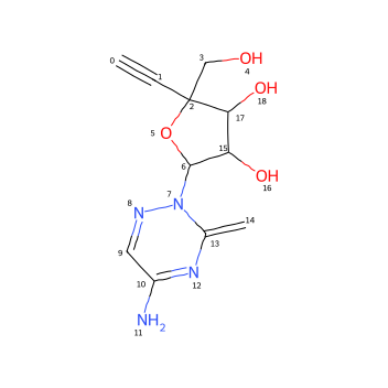 C#CC1(CO)OC(N2N=CC(N)=NC2=C)C(O)C1O